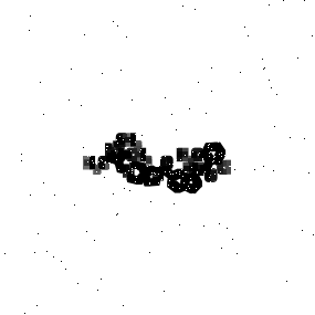 Cc1cccc(Cl)c1C(=O)NC1CCc2ccc(C(=O)N3CCC4(CCN(Cc5c(C)nn(C)c5C)CC4)C3)cc21